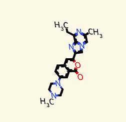 CCc1nc(C)cn2cc(-c3cc4ccc(N5CCN(C)CC5)cc4c(=O)o3)nc12